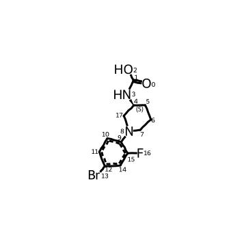 O=C(O)N[C@H]1CCCN(c2ccc(Br)cc2F)C1